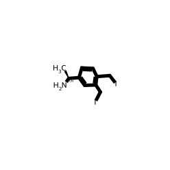 C[C@H](N)c1ccc(CI)c(CI)c1